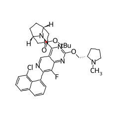 CN1CCC[C@H]1COc1nc(N2C[C@H]3CC[C@@H](C2)N3C(=O)OC(C)(C)C)c2cnc(-c3cccc4cccc(Cl)c34)c(F)c2n1